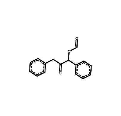 O=[C]OC(C(=O)Cc1ccccc1)c1ccccc1